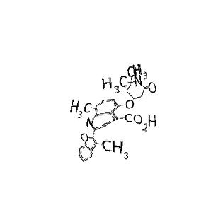 Cc1c(-c2cc(C(=O)O)c3c(OC4CC(=O)NC(C)(C)C4)ccc(C)c3n2)oc2ccccc12